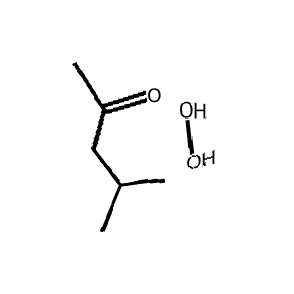 CC(=O)CC(C)C.OO